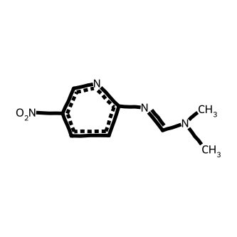 CN(C)C=Nc1ccc([N+](=O)[O-])cn1